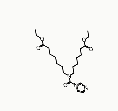 CCOC(=O)CCCCCCN(CCCCCCC(=O)OCC)C(=O)n1ccnc1